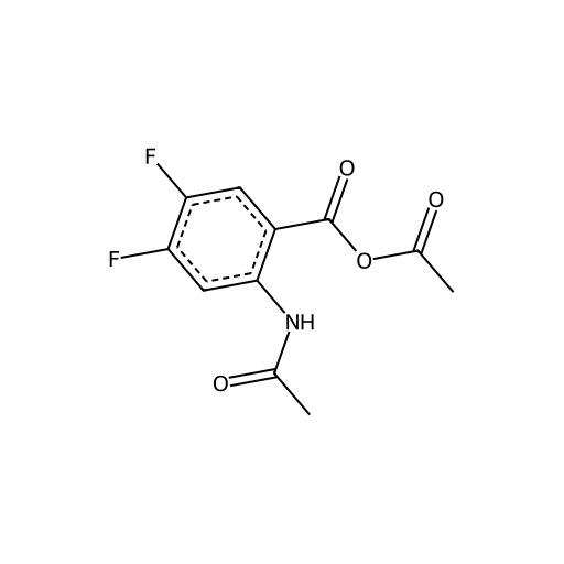 CC(=O)Nc1cc(F)c(F)cc1C(=O)OC(C)=O